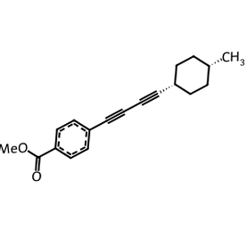 COC(=O)c1ccc(C#CC#C[C@H]2CC[C@@H](C)CC2)cc1